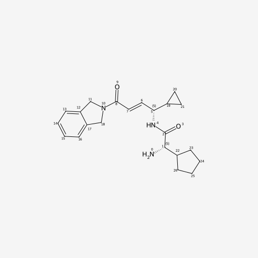 N[C@H](C(=O)N[C@H](C=CC(=O)N1Cc2ccccc2C1)C1CC1)C1CCCC1